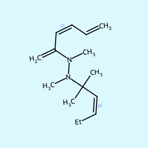 C=C/C=C\C(=C)N(C)N(C)C(C)(C)/C=C\CC